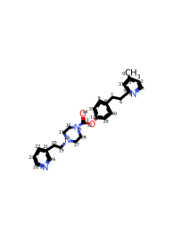 Cc1ccnc(CCc2ccc(OC(=O)N3CCN(CCc4cccnc4)CC3)cc2)c1